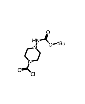 CC(C)(C)OC(=O)NN1CCN(C(=O)Cl)CC1